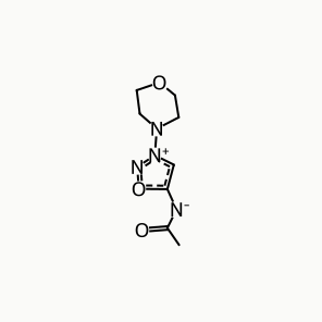 CC(=O)[N-]c1c[n+](N2CCOCC2)no1